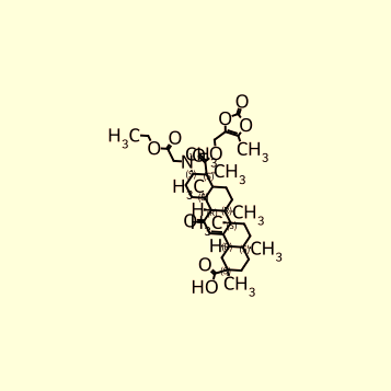 CCOC(=O)CN(C)[C@H]1CC[C@@]2(C)C(CC[C@]3(C)[C@@H]2C(=O)C=C2[C@@H]4C[C@@](C)(C(=O)O)CC[C@]4(C)CC[C@]23C)[C@]1(C)C(=O)OCc1oc(=O)oc1C